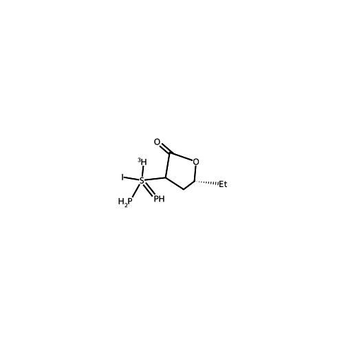 [3H]S(=P)(P)(I)C1C[C@@H](CC)OC1=O